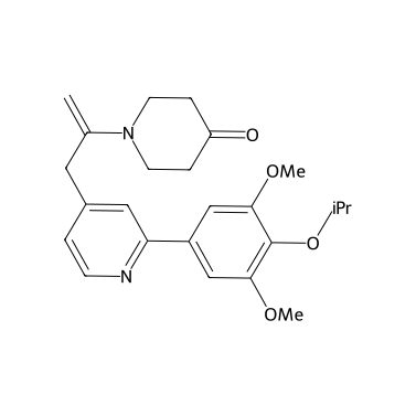 C=C(Cc1ccnc(-c2cc(OC)c(OC(C)C)c(OC)c2)c1)N1CCC(=O)CC1